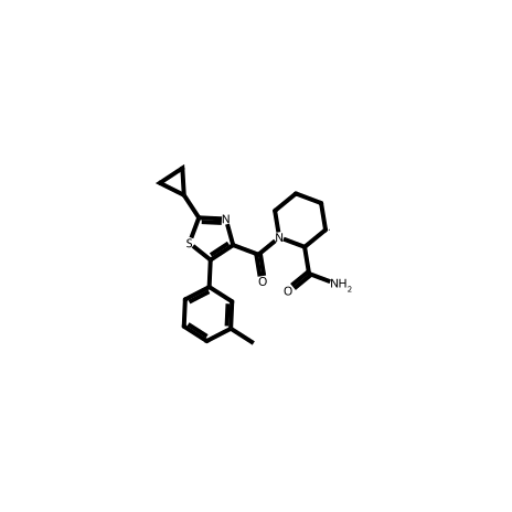 Cc1cccc(-c2sc(C3CC3)nc2C(=O)N2CCC[CH]C2C(N)=O)c1